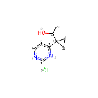 CC(O)C1(c2ccnc(Cl)n2)CC1